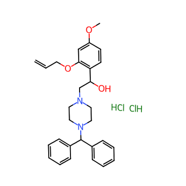 C=CCOc1cc(OC)ccc1C(O)CN1CCN(C(c2ccccc2)c2ccccc2)CC1.Cl.Cl